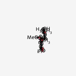 COCCOC(=O)CO[Si](C)(OCC(=O)OCCOc1ccc(C(=O)C(C)C)cc1)OCC(=O)OCCOc1ccc(C(=O)C(C)(C)O)cc1